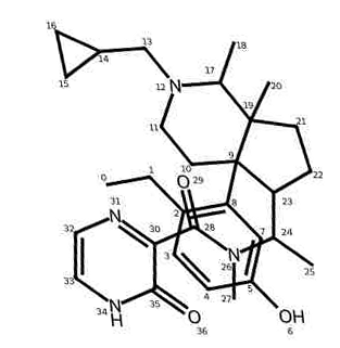 CCc1ccc(O)cc1C12CCN(CC3CC3)C(C)C1(C)CCC2C(C)N(C)C(=O)c1ncc[nH]c1=O